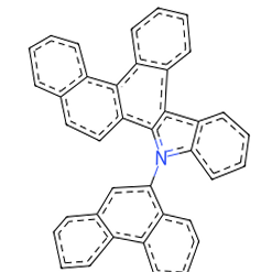 c1ccc2c(c1)cc(-n1c3ccccc3c3c4ccccc4c4c5ccccc5ccc4c31)c1ccccc12